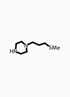 CSCCCN1CCNCC1